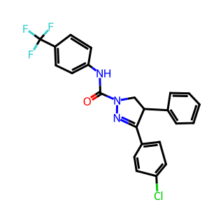 O=C(Nc1ccc(C(F)(F)F)cc1)N1CC(c2ccccc2)C(c2ccc(Cl)cc2)=N1